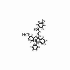 Cl.O=C(CCCC1(Cc2ccncc2)C(=O)N(c2ccccc2)c2ccccc21)c1ccc(F)cc1